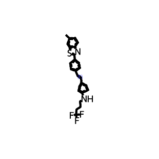 Cc1ccc2nc(-c3ccc(/C=C/c4ccc(NCCCC(F)(F)F)cc4)cc3)sc2c1